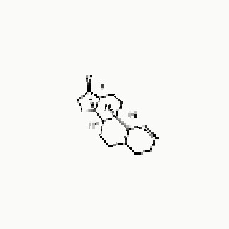 C[C@]12CC[C@H]3[C@@H](CCC4CCC=C[C@@H]43)[C@@H]1CCC2=O